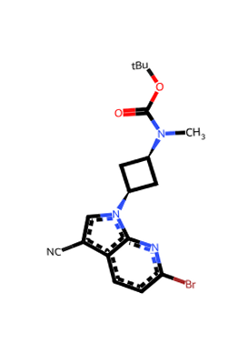 CN(C(=O)OC(C)(C)C)[C@H]1C[C@@H](n2cc(C#N)c3ccc(Br)nc32)C1